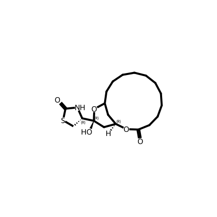 O=C1CCCCCCCCCCC2C[C@H](C[C@](O)([C@@H]3CSC(=O)N3)O2)O1